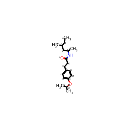 CCC(C)CC(C)NC(=O)CCc1ccc(OC(C)C)cc1